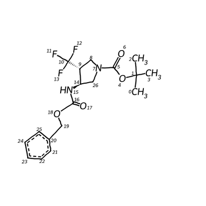 CC(C)(C)OC(=O)N1C[C@@H](C(F)(F)F)[C@H](NC(=O)OCc2ccccc2)C1